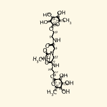 CNC(=O)N(CC(=O)NCCO[C@@H]1O[C@@H](C)[C@@H](O)[C@@H](O)[C@@H]1O)CC(=O)NCCO[C@@H]1O[C@@H](C)[C@@H](O)[C@@H](O)[C@@H]1O